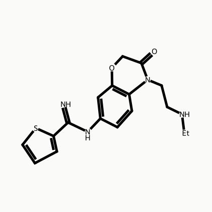 CCNCCN1C(=O)COc2cc(NC(=N)c3cccs3)ccc21